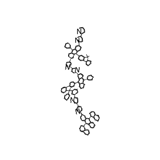 CC1(C)c2ccccc2-c2ccc(-c3c4ccc(-c5ccc(-c6ccccn6)cn5)cc4c(-c4ccccc4)c4ccc(-c5ccnc(-c6ccc(-c7ccc8c(-c9ccccc9)c9ccccc9c(-c9ccc%10c(c9)C(c9ccccc9)(c9cccc(-c%11ccc(-c%12ccc(-c%13ccc%14c(-c%15cccc%16ccccc%15%16)c%15ccccc%15c(-c%15cccc%16ccccc%15%16)c%14c%13)nc%12)cn%11)c9)c9ccccc9-%10)c8c7)nc6)c5)cc34)cc21